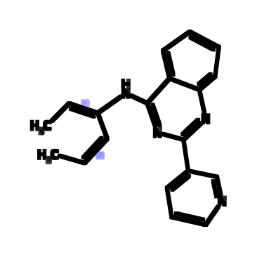 C/C=C\C(=C/C)Nc1nc(-c2cccnc2)nc2ccccc12